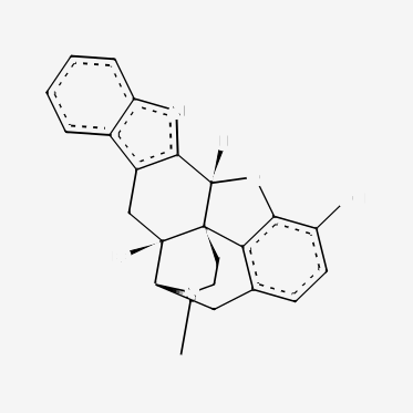 CN1CC[C@]23c4c5ccc(O)c4O[C@H]2c2[nH]c4ccccc4c2C[C@@]3(O)C1C5